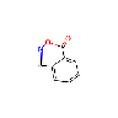 O=c1on[c]c2ccccc12